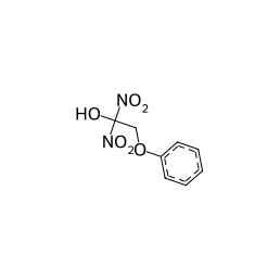 O=[N+]([O-])C(O)(COc1ccccc1)[N+](=O)[O-]